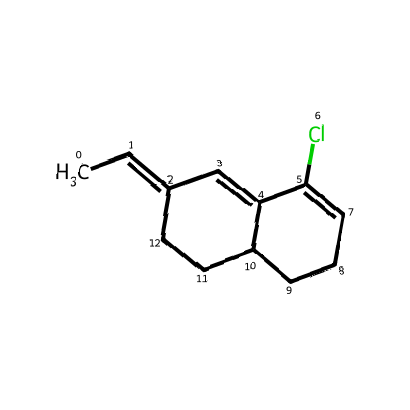 C/C=C1/C=C2C(Cl)=CCCC2CC1